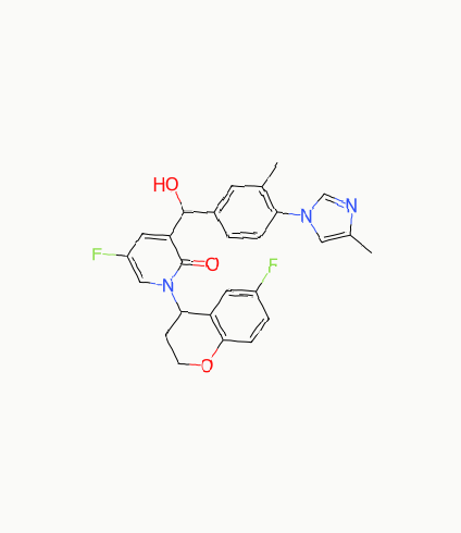 Cc1cn(-c2ccc(C(O)c3cc(F)cn(C4CCOc5ccc(F)cc54)c3=O)cc2C)cn1